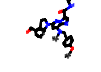 COc1ccc(CN(C)c2cc(N3CCc4c(C=O)cccc43)nn3c(C(=O)NC4CC4)cnc23)cc1